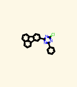 Clc1nc(-c2ccccc2)nc(-c2ccc3c(c2)-c2cccc4cccc-3c24)n1